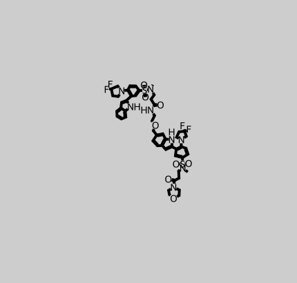 CN(CCC(=O)NCCOCc1ccc2cc(-c3cc(S(=O)(=O)N(C)CCC(=O)N4CCOCC4)ccc3N3CCC(F)(F)C3)[nH]c2c1)S(=O)(=O)c1ccc(N2CCC(F)(F)C2)c(-c2cc3ccccc3[nH]2)c1